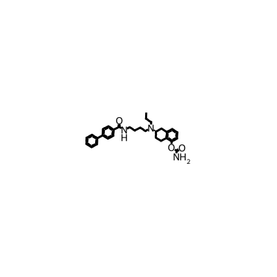 CCCN(CCCCNC(=O)c1ccc(-c2ccccc2)cc1)[C@@H]1CCc2c(cccc2OC(N)=O)C1